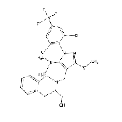 CSc1nn(-c2c(Cl)cc(C(F)(F)F)cc2Cl)c(N(C)C)c1CN1Cc2ccccc2CC1CO